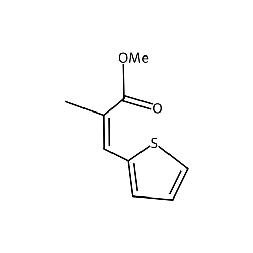 COC(=O)C(C)=Cc1cccs1